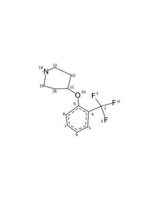 FC(F)(F)c1ccccc1OC1CC[N]CC1